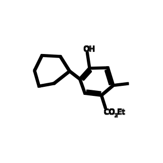 CCOC(=O)c1cc(C2CCCCC2)c(O)cc1C